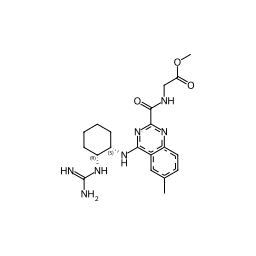 COC(=O)CNC(=O)c1nc(N[C@H]2CCCC[C@H]2NC(=N)N)c2cc(C)ccc2n1